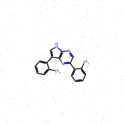 FC(F)(F)c1ccccc1-c1cnc2[nH]cc(-c3ccccc3C(F)(F)F)c2n1